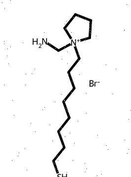 NC[N+]1(CCCCCCCCS)CCCC1.[Br-]